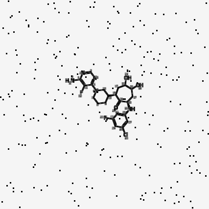 Nc1ncnc(N2CCCC([C@H]3CC(O)C(O)C[C@@H](Nc4cc(F)cc(Cl)c4)C3=O)C2)c1F